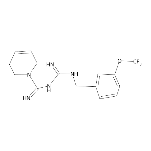 N=C(NCc1cccc(OC(F)(F)F)c1)NC(=N)N1CC=CCC1